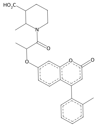 Cc1ccccc1-c1cc(=O)oc2cc(OC(C)C(=O)N3CCCC(C(=O)O)C3C)ccc12